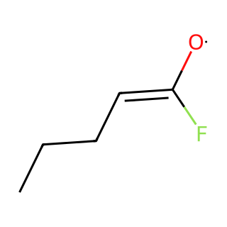 CCC/C=C(/[O])F